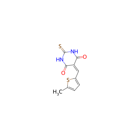 Cc1ccc(C=C2C(=O)NC(=S)NC2=O)s1